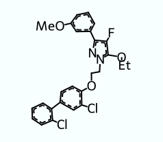 CCOc1c(F)c(-c2cccc(OC)c2)nn1CCOc1ccc(-c2ccccc2Cl)cc1Cl